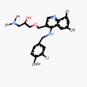 CCc1cc(C#N)cc2c(NCc3ccc(OC)c(Cl)c3)c(COCC(O)CN(C(C)C)C(C)C)cnc12